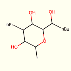 CCCCC(O)C1OC(C)C(O)C(CCC)C1O